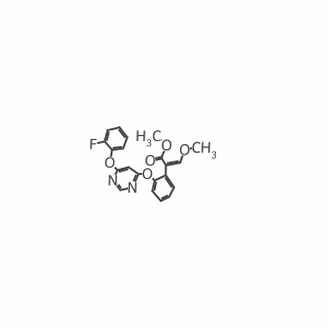 COC=C(C(=O)OC)c1ccccc1Oc1cc(Oc2ccccc2F)ncn1